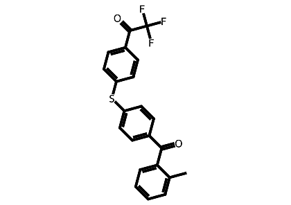 Cc1ccccc1C(=O)c1ccc(Sc2ccc(C(=O)C(F)(F)F)cc2)cc1